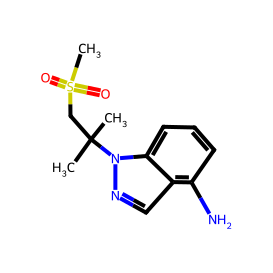 CC(C)(CS(C)(=O)=O)n1ncc2c(N)cccc21